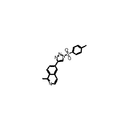 Cc1ccc(S(=O)(=O)n2cc(-c3ccc4c(C)nccc4c3)nn2)cc1